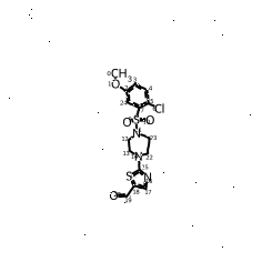 COc1ccc(Cl)c(S(=O)(=O)N2CCN(c3ncc([C]=O)s3)CC2)c1